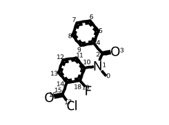 CN(C(=O)c1ccccc1)c1cccc(C(=O)Cl)c1F